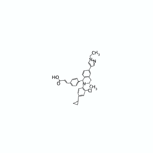 CCn1cc(-c2ccc3c(c2)C[C@H](C)N(c2ccc(C4CC4)cc2Cl)[C@H]3c2ccc(/C=C/C(=O)O)cc2)cn1